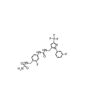 NS(=O)(=O)NCc1ccc(NC(=O)NCc2cc(C(F)(F)F)nn2-c2cccc(F)c2)cc1F